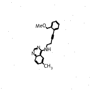 COCc1ccccc1C#CCCNc1ncnc2ccc(C)cc12